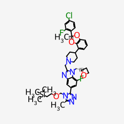 Cc1nnc(-c2cc(F)c3c(c2)nc(CN2CCC(c4cccc5c4O[C@@](C)(c4ccc(Cl)cc4F)O5)CC2)n3C[C@@H]2CCO2)n1COCC[Si](C)(C)C